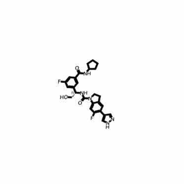 O=C(NC1CCCC1)c1cc(F)cc([C@@H](CO)NC(=O)N2CCc3cc(-c4cn[nH]c4)c(F)cc32)c1